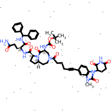 Cn1c(=O)n(C2CCC(=O)NC2=O)c2ccc(C#CCCCC(=O)N3CC[C@H]4CC[C@@H](C(=O)N[C@@H](CCC(N)=O)C(=O)NC(c5ccccc5)c5ccccc5)N4C(=O)[C@@H](NC(=O)OC(C)(C)C)C3)cc21